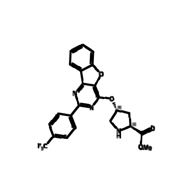 COC(=O)[C@@H]1C[C@@H](Oc2nc(-c3ccc(C(F)(F)F)cc3)nc3c2oc2ccccc23)CN1